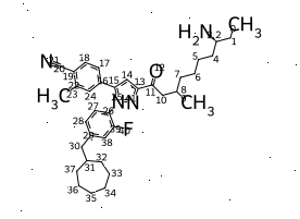 CC[C@H](N)CCCCC(C)CC(=O)c1cc(-c2ccc(C#N)c(C)c2)n(-c2ccc(CC3CCCCCC3)cc2F)n1